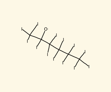 [O]C(I)(C(I)(I)I)C(I)(I)C(I)(I)C(I)(I)C(I)(I)I